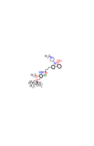 COc1cc(NC(=O)CCCc2ccc(-c3ccccc3)c(N(C(=O)O)C3CCN(C)CC3)c2)c(Br)cc1CO[Si](C)(C)C(C)(C)C